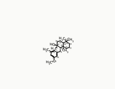 COc1cc(C)cc(C[C@@H]2[C@@]3(C)CCCC(C)(C)C3CC[C@@]2(C)O)c1